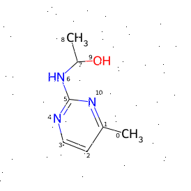 Cc1c[c]nc(NC(C)O)n1